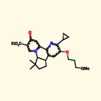 CCOC(=O)c1cn2c(cc1=O)-c1nc(C3CC3)c(OCCCOC)cc1C1CCC(C)(C)C12